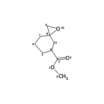 COC(=O)C1CCCC2(CO2)C1